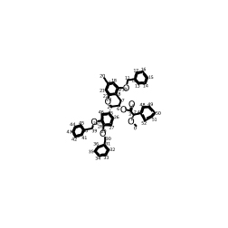 CO[C@@H](C(=O)O[C@H]1Cc2c(OCc3ccccc3)cc(C)cc2O[C@H]1c1ccc(OCc2ccccc2)c(OCc2ccccc2)c1)c1ccccc1